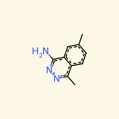 Cc1ccc2c(C)nnc(N)c2c1